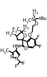 Cc1nn(C(F)F)cc1NC(=O)C1(c2ccc(F)c(F)c2OCCO[Si](C)(C)C(C)(C)C)CC(C)C(C)(C(F)(F)F)O1